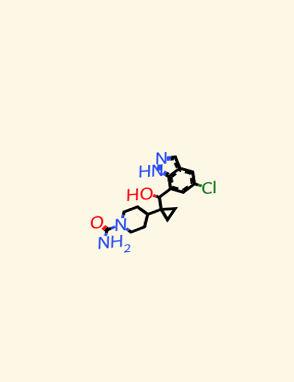 NC(=O)N1CCC(C2(C(O)c3cc(Cl)cc4cn[nH]c34)CC2)CC1